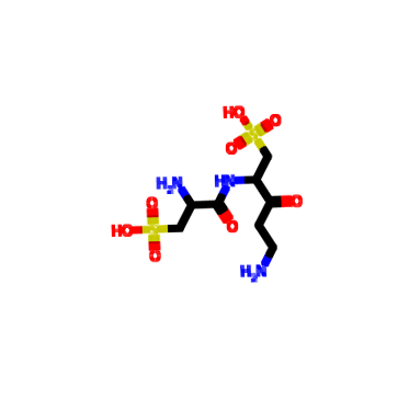 NCCC(=O)C(CS(=O)(=O)O)NC(=O)C(N)CS(=O)(=O)O